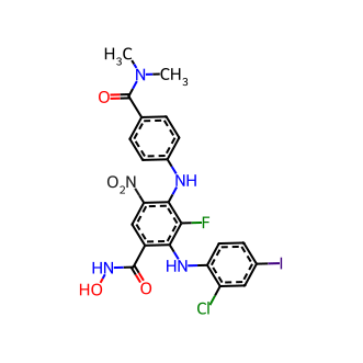 CN(C)C(=O)c1ccc(Nc2c([N+](=O)[O-])cc(C(=O)NO)c(Nc3ccc(I)cc3Cl)c2F)cc1